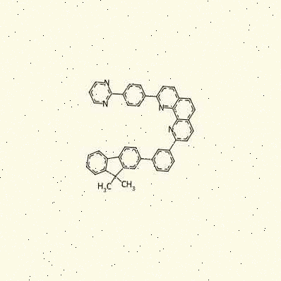 CC1(C)c2ccccc2-c2ccc(-c3cccc(-c4ccc5ccc6ccc(-c7ccc(-c8ncccn8)cc7)nc6c5n4)c3)cc21